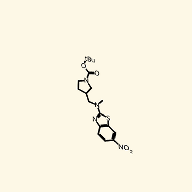 CN(CC1CCN(C(=O)OC(C)(C)C)C1)c1nc2ccc([N+](=O)[O-])cc2s1